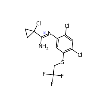 N/C(=N\c1cc(SCC(F)(F)F)c(Cl)cc1Cl)C1(Cl)CC1